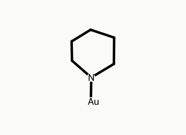 [Au][N]1CCCCC1